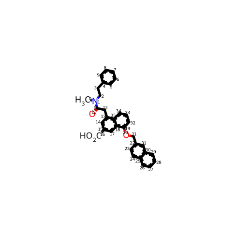 CN(CCc1ccccc1)C(=O)Cc1cc(C(=O)O)cc2c(OCc3ccc4ccccc4c3)cccc12